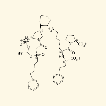 CCC(=O)OC(O[P@](=O)(CCCCc1ccccc1)CC(=O)N1C[C@H](C2CCCCC2)C[C@H]1C(=O)O)C(C)C.NCCCC[C@H](N[C@@H](CCc1ccccc1)C(=O)O)C(=O)N1CCC[C@H]1C(=O)O